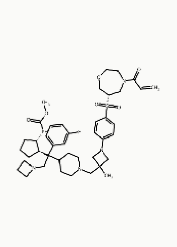 C=CC(=O)N1CCOC[C@@H](S(=O)(=O)c2ccc(N3CC(C)(CN4CCC(C(CN5CCC5)(c5cccc(F)c5)[C@H]5CCC[C@@H]5NC(=O)OC)CC4)C3)cc2)C1